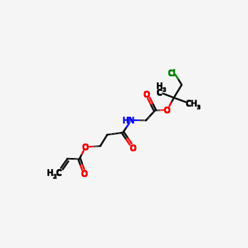 C=CC(=O)OCCC(=O)NCC(=O)OC(C)(C)CCl